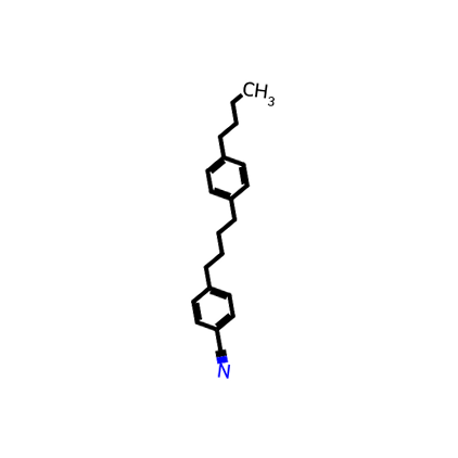 CCCCc1ccc(CCCCc2ccc(C#N)cc2)cc1